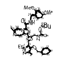 CCn1nc(C)c(OCc2ccccc2)c1-c1nc(-c2nc(C(=O)NCc3ccc(OC)cc3OC)n3cc(C)ncc23)c(CNC(=O)OC(C)(C)C)o1